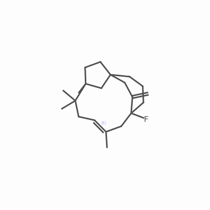 C=C1CC23CCCC1(F)C/C(C)=C/CC(C)(C)C(C)(CC2)C3